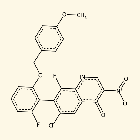 COc1ccc(COc2cccc(F)c2-c2c(Cl)cc3c(=O)c([N+](=O)[O-])c[nH]c3c2F)cc1